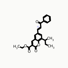 CCOC(=O)c1cc2cc(/C=C/C(=O)c3ccccc3)cc(C(C)CC)c2oc1=O